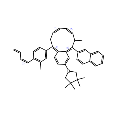 C=C/C=C\c1ccc(/C2=c3\ccc(B4CC(C)(C)C(C)(C)C4)c\c3=C(/c3ccc4ccccc4c3)C(C)/C=C\C=C/C2)cc1C